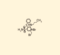 Br.CCCCNc1cc(CBr)cc(S(N)(=O)=O)c1Sc1ccccc1